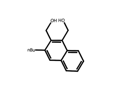 CCCCc1cc2ccccc2c(CO)c1CO